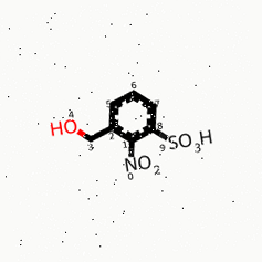 O=[N+]([O-])c1c(CO)cccc1S(=O)(=O)O